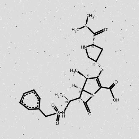 C[C@@H](NS(=O)(=O)Cc1ccccc1)[C@H]1C(=O)N2C(C(=O)O)=C(S[C@@H]3CN[C@H](C(=O)N(C)C)C3)[C@H](C)[C@H]12